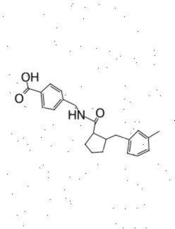 Cc1cccc(CC2CCCC2C(=O)NCc2ccc(C(=O)O)cc2)c1